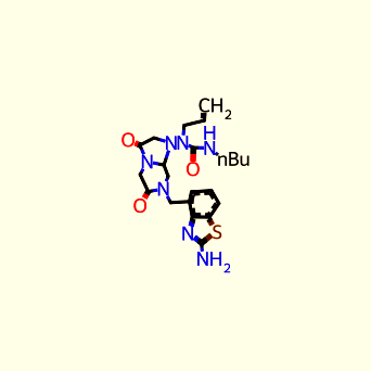 C=CCN(C(=O)NCCCC)N1CC(=O)N2CC(=O)N(Cc3cccc4sc(N)nc34)CC21